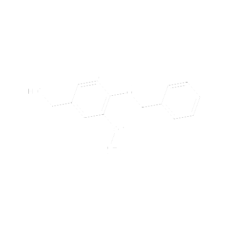 [CH2]Cc1ccc(OCc2ccccc2)c(OC)c1